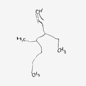 C#CC(CC)C(C)CCC